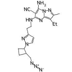 CCc1c(C)nn2c(N)c(C#N)c(NCCc3ccn(C4CCC4CN=[N+]=[N-])n3)nc12